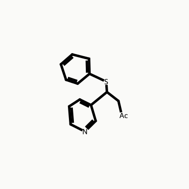 CC(=O)CC(Sc1ccccc1)c1cccnc1